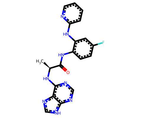 C[C@H](Nc1ncnc2[nH]cnc12)C(=O)Nc1ccc(F)cc1Nc1ccccn1